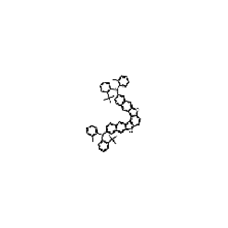 Cc1ccccc1N(c1ccc2cc3c(cc2c1)oc1ccc2oc4cc5cc(N(c6ccccc6C)c6ccccc6C(C)(C)C)ccc5cc4c2c13)c1ccccc1C(C)(C)C